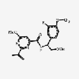 C=C(C)c1nc(OC)cc(C(=O)N[C@H](COC)c2ccc(OC(F)(F)F)c(F)c2)n1